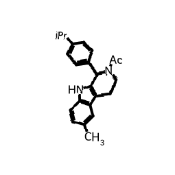 CC(=O)N1CCc2c([nH]c3ccc(C)cc23)C1c1ccc(C(C)C)cc1